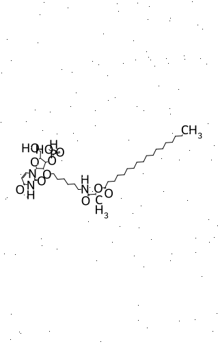 CCCCCCCCCCCCCCCCCC(=O)OC(C)C(=O)NCCCCCCOC1C(O[PH](=O)O)C(CO)OC1n1ccc(=O)[nH]c1=O